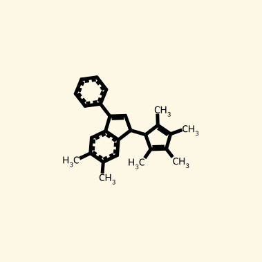 CC1=C(C)C(C)=C(C)[C]1C1C=C(c2ccccc2)c2cc(C)c(C)cc21